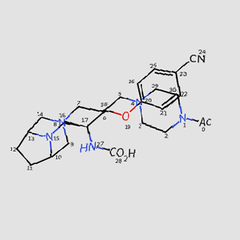 CC(=O)N1CCN(CCCN2CC3CCC(C2)N3C[C@@H](COc2ccc(C#N)cc2)NC(=O)O)CC1